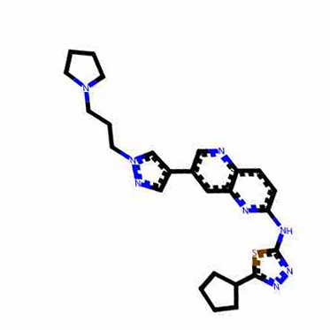 c1nc2ccc(Nc3nnc(C4CCCC4)s3)nc2cc1-c1cnn(CCCN2CCCC2)c1